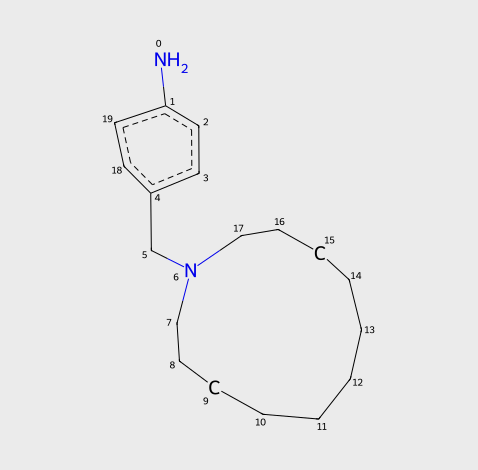 Nc1ccc(CN2CCCCCCCCCCC2)cc1